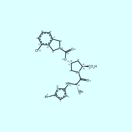 CC(C)c1cnc(N[C@H](C(=O)N2C[C@H](OC(=O)N3Cc4cccc(Cl)c4C3)C[C@H]2C(=O)O)C(C)(C)C)s1